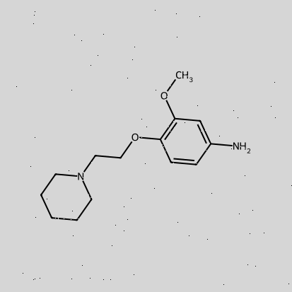 COc1cc(N)ccc1OCCN1CCCCC1